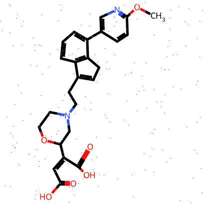 COc1ccc(-c2cccc3c2CC=C3CCN2CCOC(C(=CC(=O)O)C(=O)O)C2)cn1